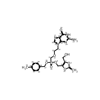 C=C1OC(CO)=C(COP(=O)(COCCn2cnc3c(=O)[nH]c(N)nc32)OCc2ccc(C)cc2)O1